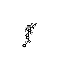 CCOC(=O)C(F)C(=O)c1cc(OC)c(-c2ccc3c(c2)CN(C(=O)OCc2ccccc2)C3)c(F)c1[N+](=O)[O-]